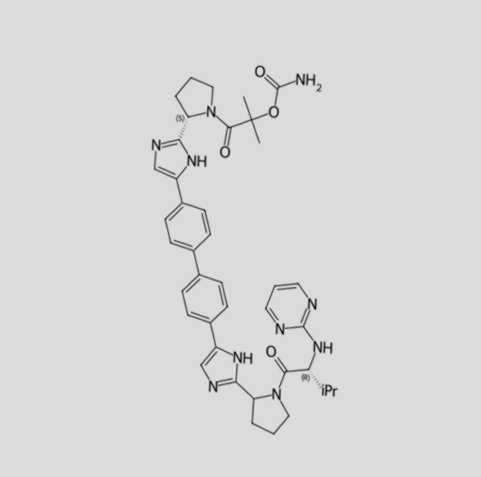 CC(C)[C@@H](Nc1ncccn1)C(=O)N1CCCC1c1ncc(-c2ccc(-c3ccc(-c4cnc([C@@H]5CCCN5C(=O)C(C)(C)OC(N)=O)[nH]4)cc3)cc2)[nH]1